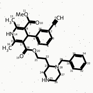 C#Cc1cccc(C2C(C(=O)OC)=C(C)NC(C)=C2C(=O)OCCC2CNCCN2Cc2ccccc2)c1